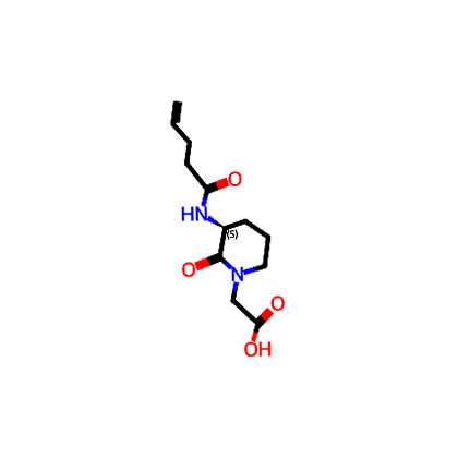 C=CCCC(=O)N[C@H]1CCCN(CC(=O)O)C1=O